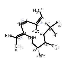 C\C=C(/C=N\C(NC[C@@H](CCC)C(C)CC(F)(F)CC)=C(\C)CC)CC